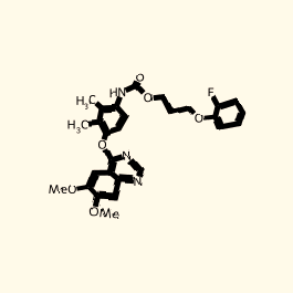 COc1cc2ncnc(Oc3ccc(NC(=O)OCCCOc4ccccc4F)c(C)c3C)c2cc1OC